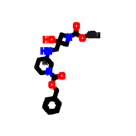 CC(C)(C)OC(=O)N1CC(O)(CN[C@@H]2CCCN(C(=O)OCc3ccccc3)C2)C1